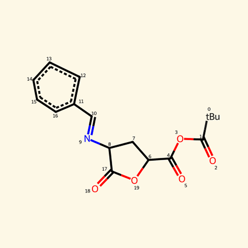 CC(C)(C)C(=O)OC(=O)C1CC(N=Cc2ccccc2)C(=O)O1